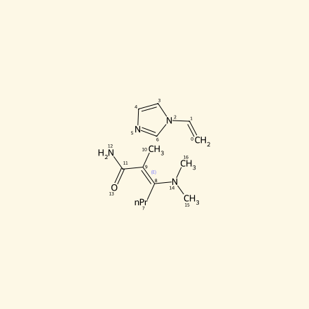 C=Cn1ccnc1.CCC/C(=C(/C)C(N)=O)N(C)C